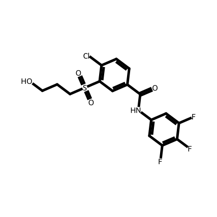 O=C(Nc1cc(F)c(F)c(F)c1)c1ccc(Cl)c(S(=O)(=O)CCCO)c1